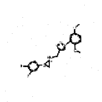 COc1ccc(OC)c(-n2cc(CN[C@@H]3C[C@H]3c3ccc(F)c(F)c3)nn2)c1